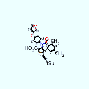 CC1=CC[C@@H](C(=O)N(c2cc(C#CC(C)(C)C)sc2C(=O)O)C2CCC(O[C@@H]3CCOC3)CC2)[C@@H](C)C1